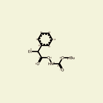 CCC(C(=O)ONC(=O)OC(C)(C)C)c1ccccc1